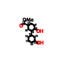 COC(=O)c1ccc(O)c(-c2cccc(O)c2)c1